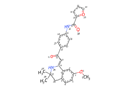 COc1ccc2c(c1)C(=CC(=O)c1ccc(NC(=O)c3ccco3)cc1)NC(C)(C)C2